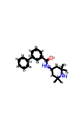 CC1(C)CC(NC(=O)c2cccc(-c3ccccc3)c2)CC(C)(C)N1